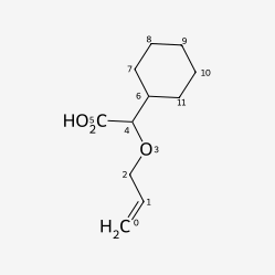 C=CCOC(C(=O)O)C1CCCCC1